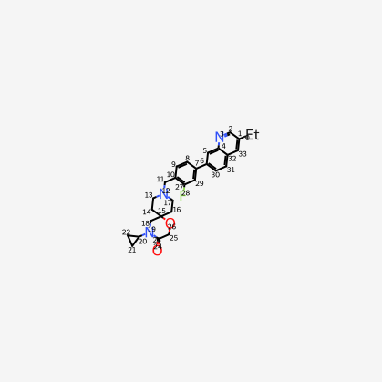 CCc1cnc2cc(-c3ccc(CN4CCC5(CC4)CN(C4CC4)C(=O)CO5)c(F)c3)ccc2c1